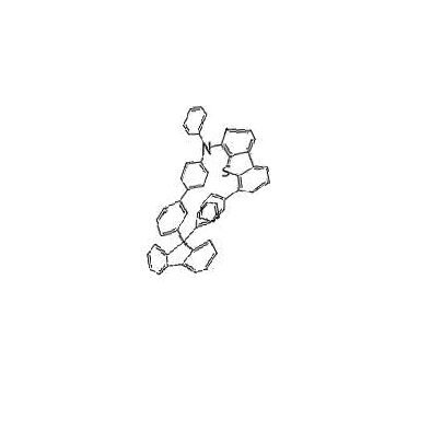 c1ccc(-c2cccc3c2sc2c(N(c4ccccc4)c4ccc(-c5cccc(C6(c7ccccc7)c7ccccc7-c7ccccc76)c5)cc4)cccc23)cc1